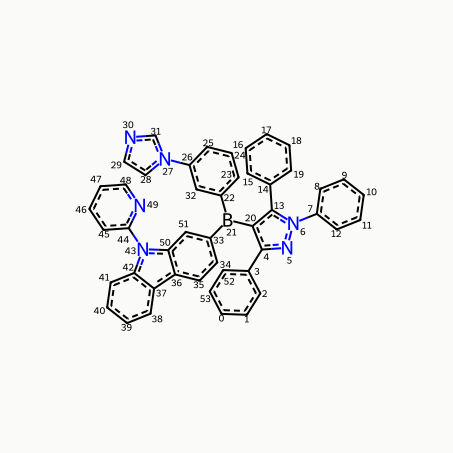 c1ccc(-c2nn(-c3ccccc3)c(-c3ccccc3)c2B(c2cccc(-n3ccnc3)c2)c2ccc3c4ccccc4n(-c4ccccn4)c3c2)cc1